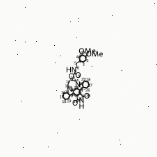 COc1ccc(CCNC(=O)OC2CCn3c4ccccc4c4c5c(c6c7ccccc7n(c6c43)C2)C(=O)NC5=O)cc1OC